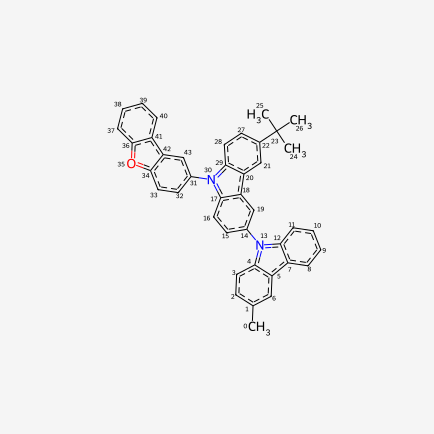 Cc1ccc2c(c1)c1ccccc1n2-c1ccc2c(c1)c1cc(C(C)(C)C)ccc1n2-c1ccc2oc3ccccc3c2c1